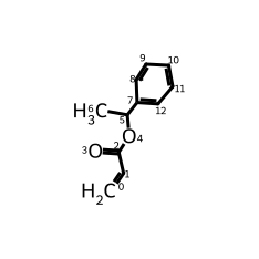 C=CC(=O)OC(C)c1[c]cccc1